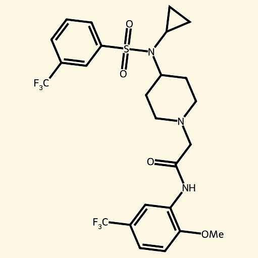 COc1ccc(C(F)(F)F)cc1NC(=O)CN1CCC(N(C2CC2)S(=O)(=O)c2cccc(C(F)(F)F)c2)CC1